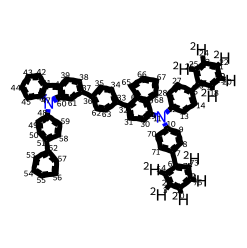 [2H]c1c([2H])c([2H])c(-c2ccc(N(c3ccc(-c4c([2H])c([2H])c([2H])c([2H])c4[2H])cc3)c3ccc(-c4ccc(-c5ccc6c7ccccc7n(-c7ccc(-c8ccccc8)cc7)c6c5)cc4)c4ccccc34)cc2)c([2H])c1[2H]